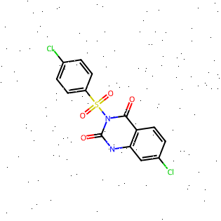 O=C1[N]c2cc(Cl)ccc2C(=O)N1S(=O)(=O)c1ccc(Cl)cc1